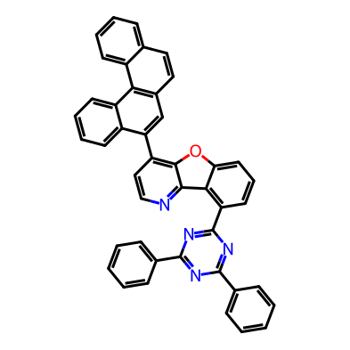 c1ccc(-c2nc(-c3ccccc3)nc(-c3cccc4oc5c(-c6cc7ccc8ccccc8c7c7ccccc67)ccnc5c34)n2)cc1